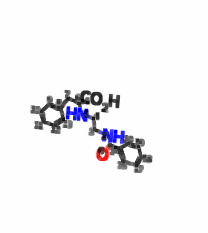 O=C(NCCN[C@@H](Cc1ccccc1)C(=O)O)c1ccccc1